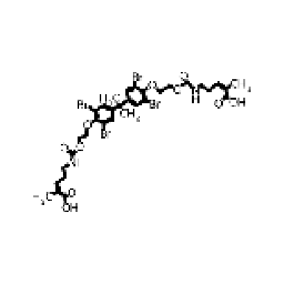 CC(=CCCNC(=O)OCCOc1c(Br)cc(C(C)(C)c2cc(Br)c(OCCOC(=O)NCCC=C(C)C(=O)O)c(Br)c2)cc1Br)C(=O)O